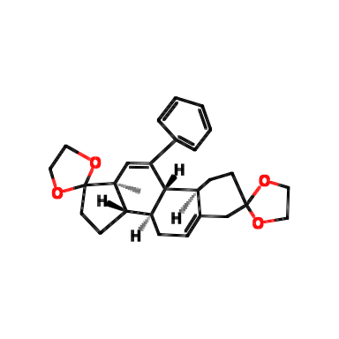 C[C@]12C=C(c3ccccc3)[C@H]3[C@@H](CC=C4CC5(CC[C@@H]43)OCCO5)[C@@H]1CCC21OCCO1